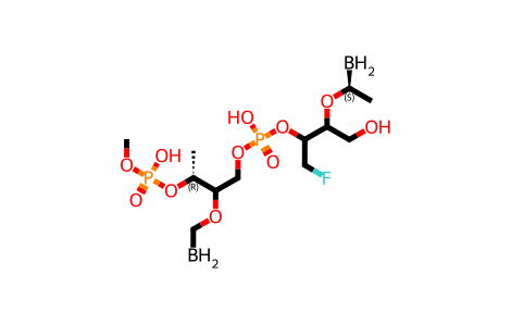 BCOC(COP(=O)(O)OC(CF)C(CO)O[C@@H](B)C)[C@@H](C)OP(=O)(O)OC